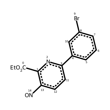 CCOC(=O)c1nc(-c2cccc(Br)c2)ccc1N=O